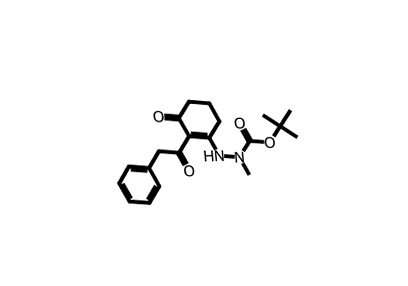 CN(NC1=C(C(=O)Cc2ccccc2)C(=O)CCC1)C(=O)OC(C)(C)C